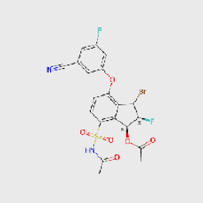 CC(=O)NS(=O)(=O)c1ccc(Oc2cc(F)cc(C#N)c2)c2c1[C@H](OC(C)=O)[C@H](F)C2Br